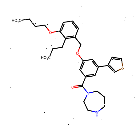 O=C(O)CCCOc1cccc(COc2cc(C(=O)N3CCCNCC3)cc(-c3ccsc3)c2)c1CCC(=O)O